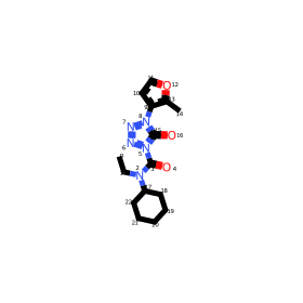 CCN(C(=O)n1nnn(-c2ccoc2C)c1=O)C1CCCCC1